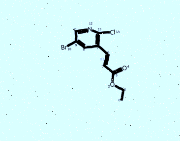 CCOC(=O)/C=C/c1cc(Br)cnc1Cl